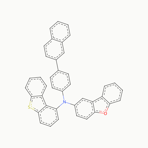 c1ccc2cc(-c3ccc(N(c4ccc5oc6ccccc6c5c4)c4cccc5sc6ccccc6c45)cc3)ccc2c1